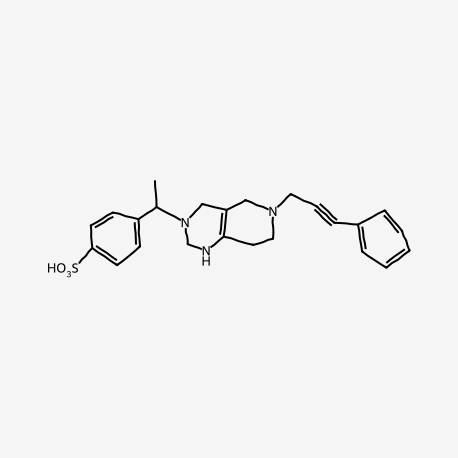 CC(c1ccc(S(=O)(=O)O)cc1)N1CNC2=C(CN(CC#Cc3ccccc3)CC2)C1